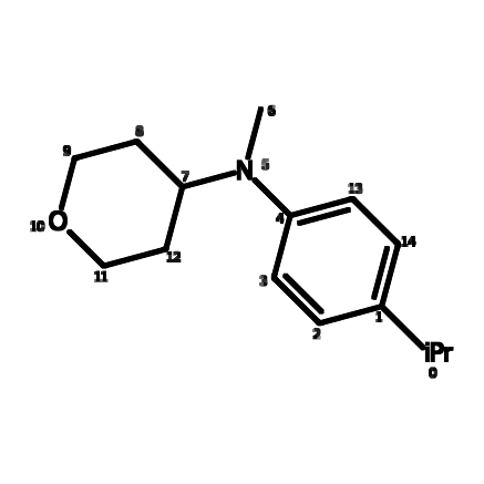 CC(C)c1ccc(N(C)C2CCOCC2)cc1